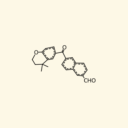 CC1(C)CCOc2ccc(C(=O)c3ccc4cc(C=O)ccc4c3)cc21